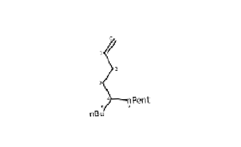 C=CCCC(CCCC)CCCCC